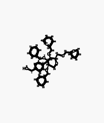 OCc1ccc([C@@]2(OCc3ccccc3)[C@@H](OCc3ccccc3)CO[C@H](COCc3ccccc3)[C@H]2OCc2ccccc2)cc1